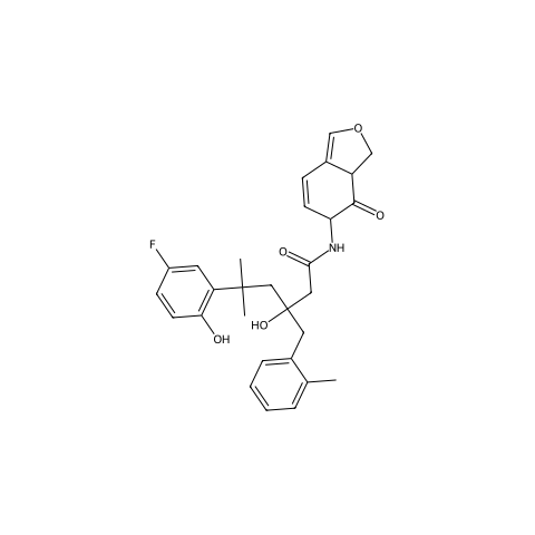 Cc1ccccc1CC(O)(CC(=O)NC1C=CC2=COCC2C1=O)CC(C)(C)c1cc(F)ccc1O